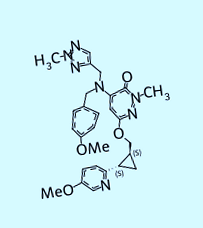 COc1ccc(CN(Cc2cnn(C)n2)c2cc(OC[C@H]3C[C@@H]3c3ccc(OC)cn3)nn(C)c2=O)cc1